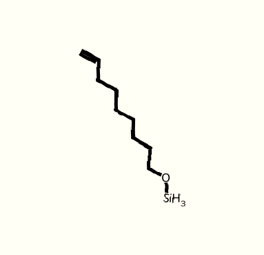 C=CCCCCCCCO[SiH3]